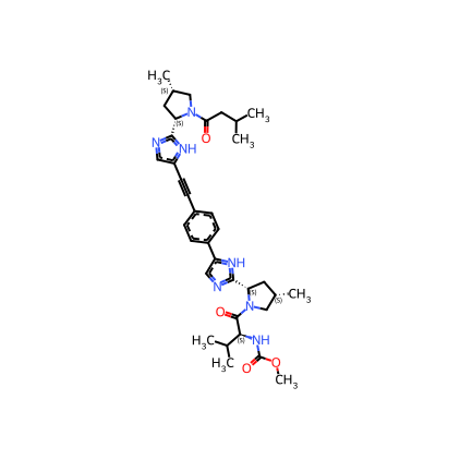 COC(=O)N[C@H](C(=O)N1C[C@@H](C)C[C@H]1c1ncc(-c2ccc(C#Cc3cnc([C@@H]4C[C@H](C)CN4C(=O)CC(C)C)[nH]3)cc2)[nH]1)C(C)C